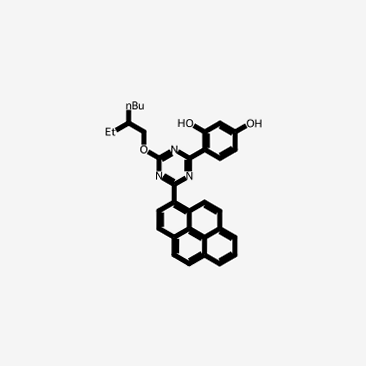 CCCCC(CC)COc1nc(-c2ccc(O)cc2O)nc(-c2ccc3ccc4cccc5ccc2c3c45)n1